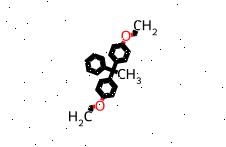 C=COc1ccc(C(C)(c2ccccc2)c2ccc(OC=C)cc2)cc1